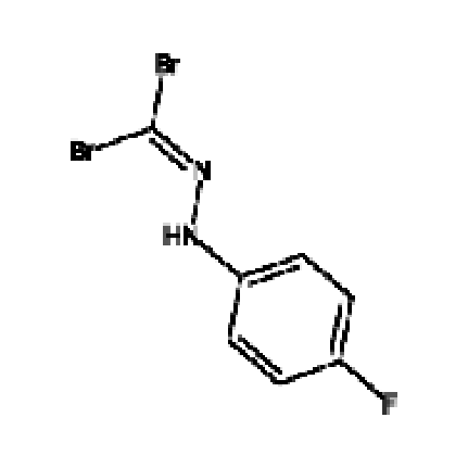 Fc1ccc(NN=C(Br)Br)cc1